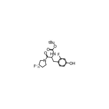 CC(C)(C)OC(=O)NC(Cc1ccc(O)cc1F)C(=O)N1CC[C@H](F)C1